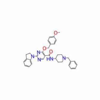 COc1ccc(COc2nc(N3CCc4ccccc43)ncc2C(=O)NC2CCN(Cc3ccccc3)CC2)cc1